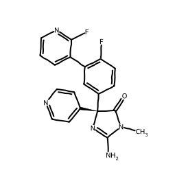 CN1C(=O)[C@@](c2ccncc2)(c2ccc(F)c(-c3cccnc3F)c2)N=C1N